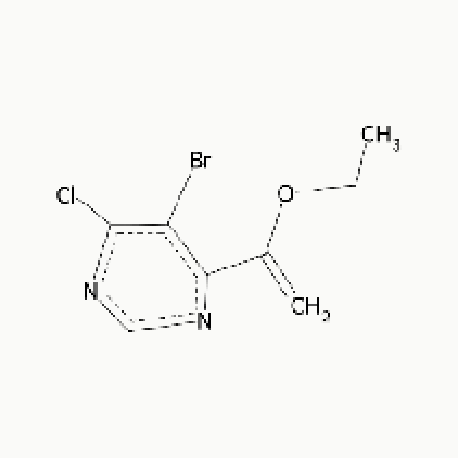 C=C(OCC)c1ncnc(Cl)c1Br